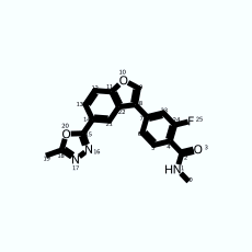 CNC(=O)c1ccc(-c2coc3ccc(-c4nnc(C)o4)cc23)cc1F